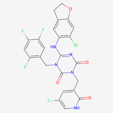 O=c1[nH]cc(F)cc1Cn1c(=O)nc(Nc2cc3c(cc2Cl)OCC3)n(Cc2cc(F)c(F)cc2F)c1=O